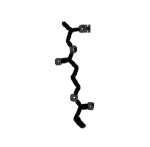 C=CC(=O)OCCCC(=O)OCC(C)O